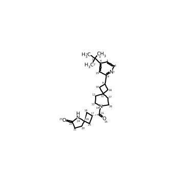 CC(C)(C)c1ccnc(C2CC3(CCN(C(=O)[C@H]4C[C@]5(CCC(=O)N5)C4)CC3)C2)c1